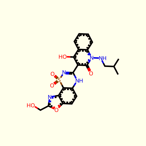 CC(C)CNn1c(=O)c(C2=NS(=O)(=O)c3c(ccc4oc(CO)nc34)N2)c(O)c2ccccc21